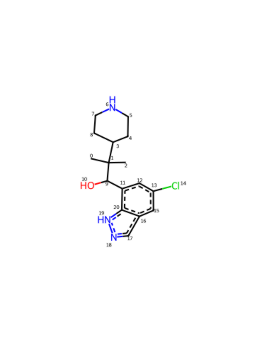 CC(C)(C1CCNCC1)C(O)c1cc(Cl)cc2cn[nH]c12